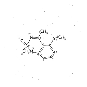 CSc1cccc2c1C(C)=NS(=O)(=O)N2